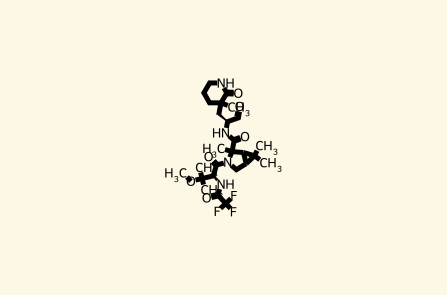 COC(C)(C)[C@H](NC(=O)C(F)(F)F)C(=O)N1CC2C(C2(C)C)C1(C)C(=O)N[C@H](C=O)CC1(C)CCCNC1=O